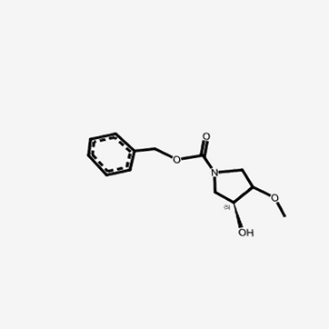 COC1CN(C(=O)OCc2ccccc2)C[C@@H]1O